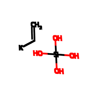 C=[CH][K].O[Si](O)(O)O